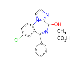 CC(=O)O.OC1N=C(c2ccccc2)c2cc(Cl)ccc2-n2ccnc21